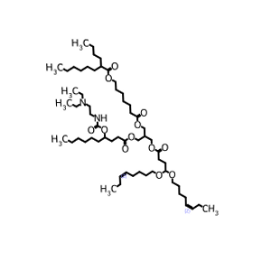 CC/C=C\CCCCOC(CCC(=O)OCC(COC(=O)CCCCCCOC(=O)C(CCCC)CCCCCC)COC(=O)CCC(CCCCCC)OC(=O)NCCN(CC)CC)OCCCC/C=C\CC